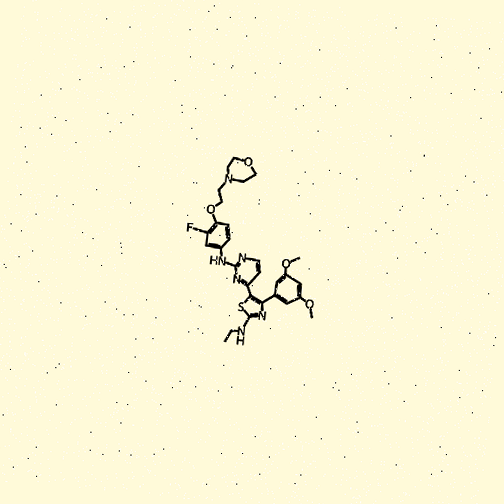 CCNc1nc(-c2cc(OC)cc(OC)c2)c(-c2ccnc(Nc3ccc(OCCN4CCOCC4)c(F)c3)n2)s1